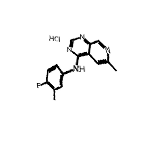 Cc1cc2c(Nc3ccc(F)c(C)c3)ncnc2cn1.Cl